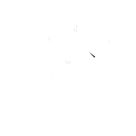 O=C(N[C@@H]1C(O)NC[C@H]1c1cc2c(cc1F)OCC2)OCc1ccccc1